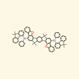 CC1(C)c2ccccc2-c2c(N(c3ccccc3)c3cc4c(c5oc6ccccc6c35)-c3cc5c(cc3C4(C)C)-c3c(cc(N(c4ccccc4)c4cccc6c4-c4ccccc4C6(C)C)c4c3oc3ccccc34)C5(C)C)cccc21